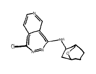 Clc1nnc(NC2CC3CCC2O3)c2cnccc12